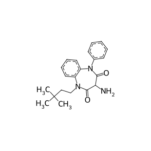 CC(C)(C)CCN1C(=O)C(N)C(=O)N(c2ccccc2)c2ccccc21